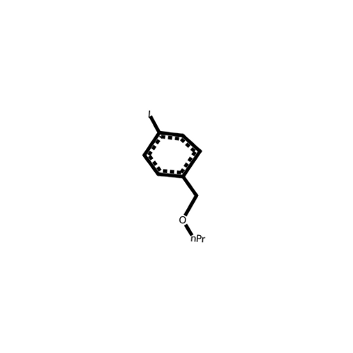 CCCOCc1ccc(I)cc1